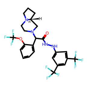 O=C(NNc1cc(C(F)(F)F)cc(C(F)(F)F)c1)C(c1ccccc1OC(F)(F)F)N1CCN2CCC[C@@H]2C1